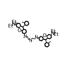 CC[N+](CC)=c1ccc2c(-c3ccccc3C)c3ccc(N(C)CCN(C)CCN(C)c4ccc5c(-c6ccccc6C)c6ccc(=[N+](CC)CC)cc-6oc5c4)cc3oc-2c1